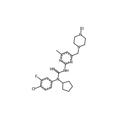 CCN1CCN(Cc2cc(C)nc(NC(=N)N(c3ccc(Cl)c(F)c3)C3CCCC3)n2)CC1